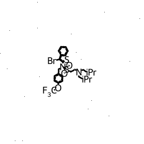 CC(C)CN(CCS(=O)(=O)N(Cc1ccc(OC(F)(F)F)cc1)c1sc2ccccc2c1Br)CC(C)C